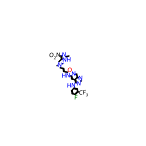 Cc1nc([N+](=O)[O-])c(C[N+](C)(C)C/C=C/C(=O)Nc2cc3c(Nc4ccc(F)c(C(F)(F)F)c4)ncnc3cn2)[nH]1